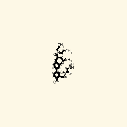 CCCN(CCC)C(=O)C1=Cc2ccc(-c3ccc(C=O)c(/C=N\N(C)C(=O)CNC)c3)cc2N=C(N)C1